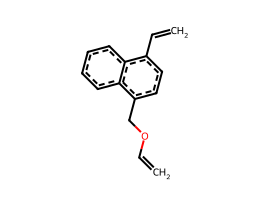 C=COCc1ccc(C=C)c2ccccc12